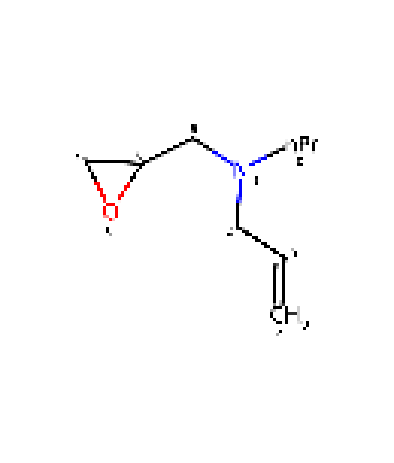 [CH2]CCN(CC=C)CC1CO1